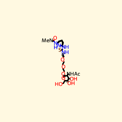 CNC(=O)Nc1cccc(NC(=S)NCCOCCOCCO[C@@H]2OC(CO)[C@@H](O)[C@H](O)C2NC(C)=O)n1